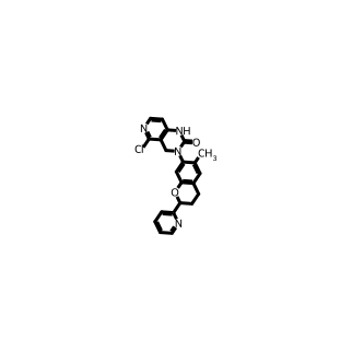 Cc1cc2c(cc1N1Cc3c(ccnc3Cl)NC1=O)OC(c1ccccn1)CC2